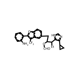 CCC(c1[nH]cnc1C1CC1)C(Cc1ccc2oc(-c3ccccc3N)c(C(F)(F)F)c2c1)OC=O